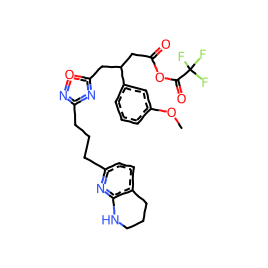 COc1cccc(C(CC(=O)OC(=O)C(F)(F)F)Cc2nc(CCCc3ccc4c(n3)NCCC4)no2)c1